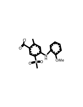 COc1ccccc1Nc1cc(C)c(C(=O)Cl)cc1S(C)(=O)=O